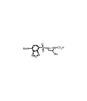 CNc1ccc(S(=O)(=O)NCC(NC(=O)O)C(C)(C)C)c2nonc12